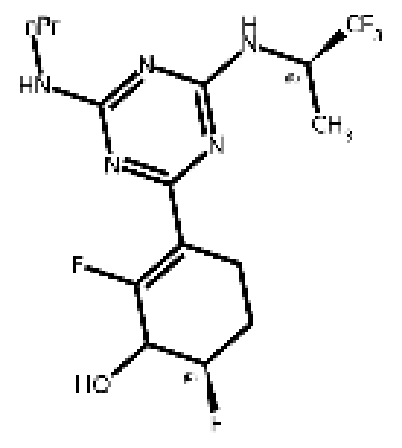 CCCNc1nc(N[C@H](C)C(F)(F)F)nc(C2=C(F)C(O)[C@H](F)CC2)n1